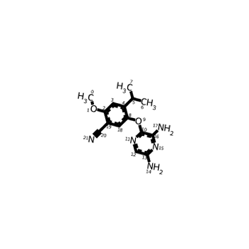 COc1cc(C(C)C)c(Oc2ncc(N)nc2N)cc1C#N